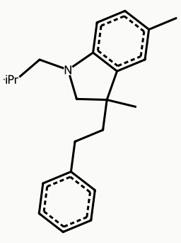 C[C](C)CN1CC(C)(CCc2ccccc2)c2cc(C)ccc21